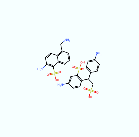 NCc1cccc2c(S(=O)(=O)O)c(N)ccc12.Nc1ccc(C(CS(=O)(=O)O)c2ccc(N)cc2S(=O)(=O)O)cc1